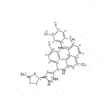 CCN1CC[C@H](N2C=C(C(Nc3cc(Cl)c4ncc(C#N)c(Nc5ccc(F)c(Cl)c5)c4c3)c3ccc(F)cc3)NN2)C1